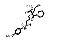 COc1ccc(S(=O)(=O)NCCC[C@](CCC(C)C)(C(=O)OC(C)(C)C)C(=O)N2CCCCC2)cc1